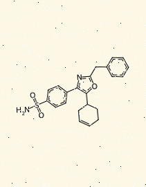 NS(=O)(=O)c1ccc(-c2nc(Cc3ccccc3)oc2C2CC=CCC2)cc1